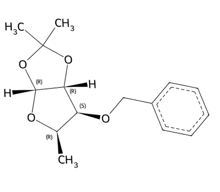 C[C@H]1O[C@@H]2OC(C)(C)O[C@@H]2[C@H]1OCc1ccccc1